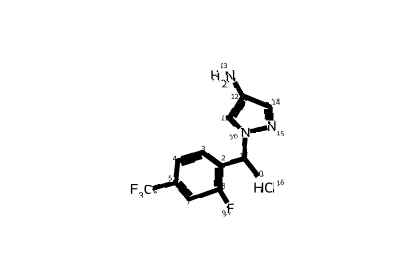 CC(c1ccc(C(F)(F)F)cc1F)n1cc(N)cn1.Cl